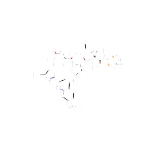 C=C[C@@H]1C[C@]1(NC(=O)[C@@H]1[C@@H](C)[C@@H](Oc2cc(-c3nc(C(C)C)cs3)nc3c(C)c(OC)ccc23)CN1C(=O)[C@@H](NC(=O)OC(C)(C)C)C(C)(C)C)C(=O)NS(=O)(=O)C1(C)CC1